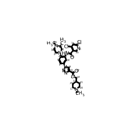 C[C@H]1CN(c2ccc(-n3cc(C(=O)OCC4CCN(C)CC4)nn3)cc2NC(=O)c2cnc(Cl)cc2Cl)CCN1C